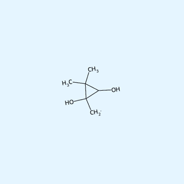 [CH2]C1(O)C(O)C1(C)C